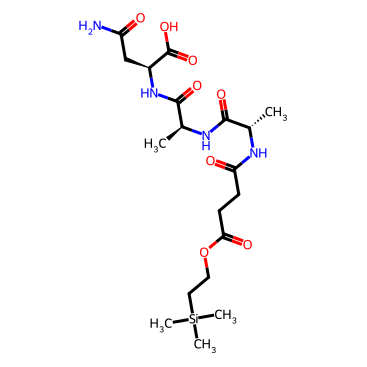 C[C@H](NC(=O)CCC(=O)OCC[Si](C)(C)C)C(=O)N[C@@H](C)C(=O)N[C@@H](CC(N)=O)C(=O)O